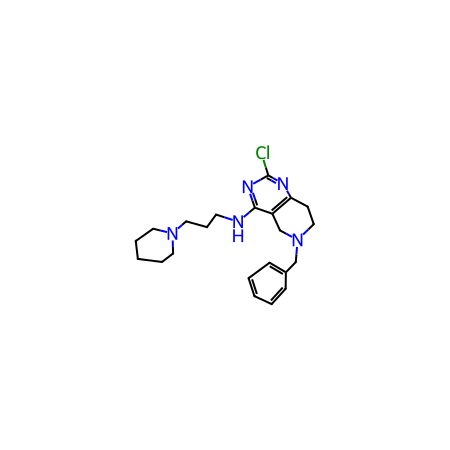 Clc1nc2c(c(NCCCN3CCCCC3)n1)CN(Cc1ccccc1)CC2